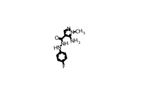 Cn1ncc(C(=O)NNc2ccc(F)cc2)c1N